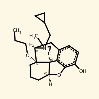 CCCO[C@@]12CCC[C@@H]3Oc4c(O)ccc5c4[C@@]31CC[N+](C)(CC1CC1)[C@@H]2C5